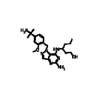 CCCC(CCO)Nc1nc(N)nc2cnn(Cc3ccc(C(C)(C)N)cc3OC)c12